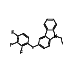 CCn1c2ccccc2c2cc([CH]c3ccc(F)c(F)c3F)ccc21